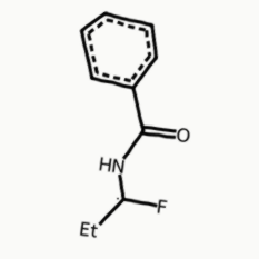 CC[C](F)NC(=O)c1ccccc1